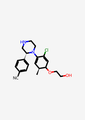 C[C@H]1C=C(N2CCNC[C@H]2c2ccc(C#N)cc2)C(Cl)=CC1OCCO